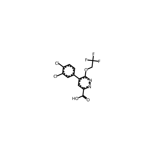 O=C(O)c1cc(-c2ccc(Cl)c(Cl)c2)c(OCC(F)(F)F)nn1